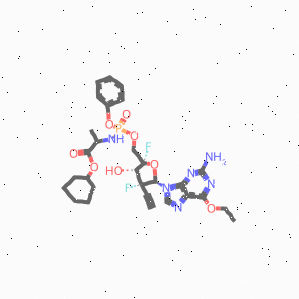 C#C[C@]1(F)[C@H](n2cnc3c(OCC)nc(N)nc32)O[C@](F)(CO[P@@](=O)(NC(C)C(=O)OC2CCCCC2)Oc2ccccc2)[C@H]1O